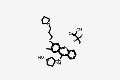 Cc1cc2c(N[C@@H]3CC[C@H](O)C3)c3ccccc3nc2cc1OCCCN1CCCC1.O=C(O)C(F)(F)F